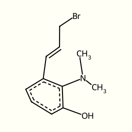 CN(C)c1c(O)cccc1/C=C/CBr